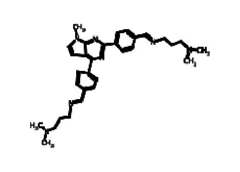 CN(C)CCCN=Cc1ccc(-c2nc(-c3ccc(C=NCCCN(C)C)cc3)c3ccn(C)c3n2)cc1